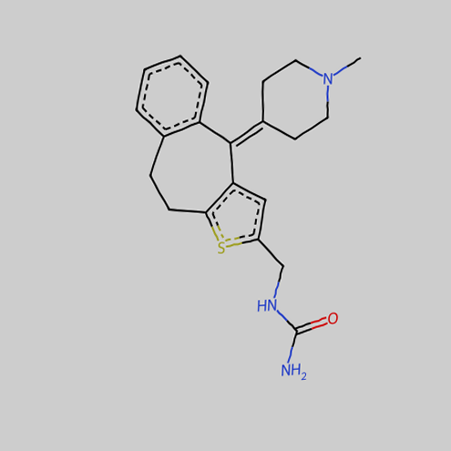 CN1CCC(=C2c3ccccc3CCc3sc(CNC(N)=O)cc32)CC1